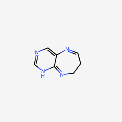 C1=NC=C2N=CCCN=C2N1